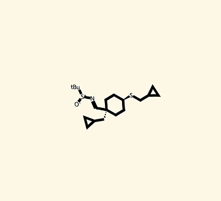 CC(C)(C)[S+]([O-])N=C[C@]1(CC2CC2)CC[C@H](SCC2CC2)CC1